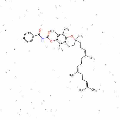 CC(C)=CCCC(C)=CCCC(C)=CCCC1(C)CCc2c(C)c(OC(=O)NC(=O)c3ccccc3)c(C)c(C)c2O1